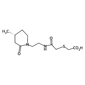 C[C@@H]1CCN(CCNC(=O)CSCC(=O)O)C(=O)C1